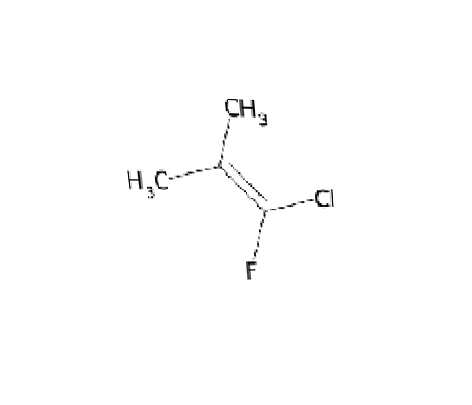 CC(C)=C(F)Cl